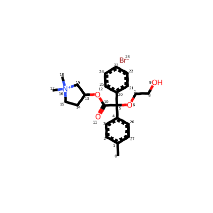 Cc1ccc(C(OCCO)(C(=O)OC2CC[N+](C)(C)C2)c2ccccc2)cc1.[Br-]